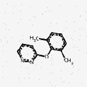 Cc1cccc(C)c1Oc1cccnn1